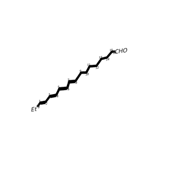 CCC=CC=CC=CC=CCCCCCCCC=O